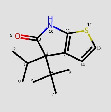 CC(C)C1(C(C)(C)C)C(=O)Nc2sccc21